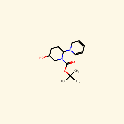 CC(C)(C)OC(=O)N1CC(O)CCC1N1C=CC=CC1